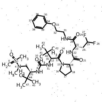 C=S(C)(=O)N(C)C[C@@H](NC(=O)N[C@H](C(=O)N1CCC[C@H]1C(=O)N[C@@H](CC(F)F)C(=O)NCCOc1ccccc1)C(C)(C)C)C(C)(C)C